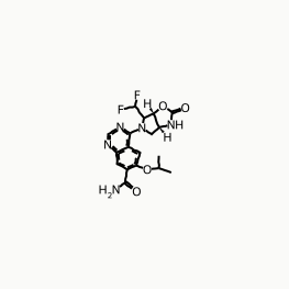 CC(C)Oc1cc2c(N3C[C@H]4NC(=O)O[C@H]4C3C(F)F)ncnc2cc1C(N)=O